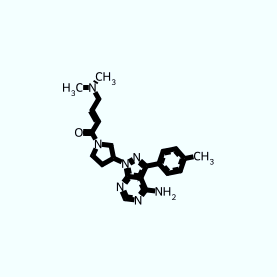 Cc1ccc(-c2nn(C3CCN(C(=O)C=CCN(C)C)C3)c3ncnc(N)c23)cc1